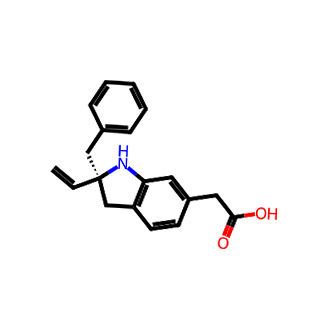 C=C[C@]1(Cc2ccccc2)Cc2ccc(CC(=O)O)cc2N1